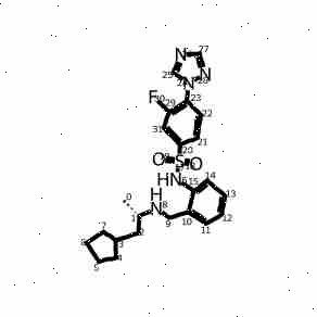 C[C@@H](CC1CCCC1)NCc1ccccc1NS(=O)(=O)c1ccc(-n2cncn2)c(F)c1